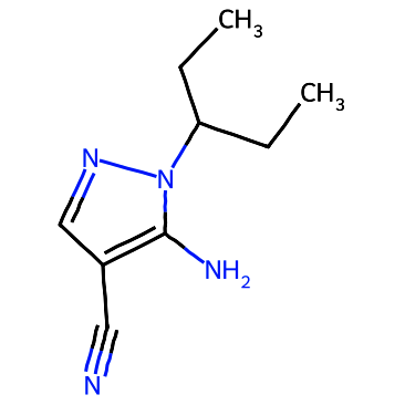 CCC(CC)n1ncc(C#N)c1N